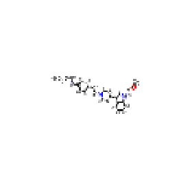 CCOCCn1cc(C2CCN(CCc3ccc(/C=C/C(=O)O)cc3)CC2)c2ccccc21